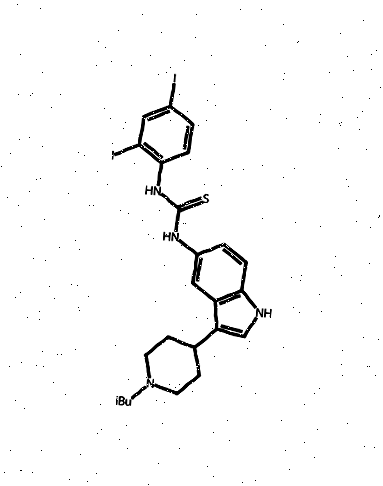 CCC(C)N1CCC(c2c[nH]c3ccc(NC(=S)Nc4ccc(I)cc4I)cc23)CC1